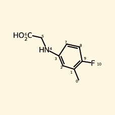 Cc1cc(NCC(=O)O)ccc1F